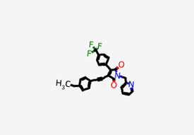 CCc1ccc(C#CC2=C(c3ccc(C(F)(F)F)cc3)C(=O)N(Cc3ccccn3)C2=O)cc1